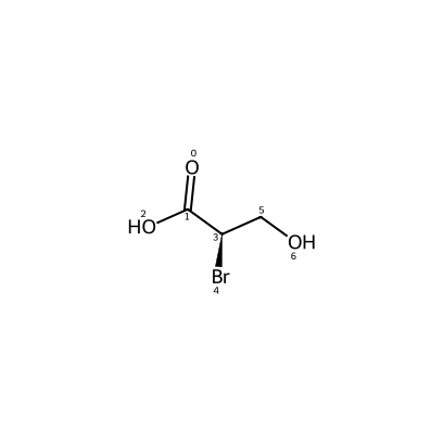 O=C(O)[C@H](Br)CO